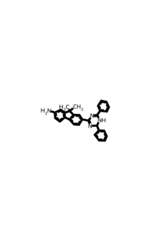 CC1(C)c2cc(N)ccc2-c2ccc(C3=NC(c4ccccc4)NC(c4ccccc4)=N3)cc21